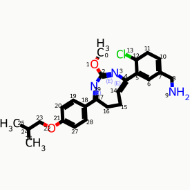 COC1=N/C(C2=CC(CN)=CCC2Cl)=C/CC/C(c2ccc(OCC(C)C)cc2)=N\1